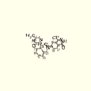 Cc1cncc(Oc2cccc(CN(C)c3ccc4c(=O)[nH]nc(Cl)c4c3)c2)n1